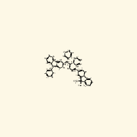 CC1(C)c2ccccc2-c2ccc(-c3ncc(N(c4ccncc4)c4ccc5c(c4)c4ccccc4n5-c4ccccc4)c4ccccc34)cc21